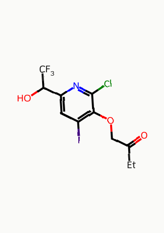 CCC(=O)COc1c(I)cc(C(O)C(F)(F)F)nc1Cl